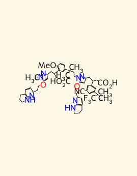 COc1ccc(C(C)(C)CCn2nc(CC(CC(=O)O)c3cc(C#N)cc(C(C)(C)C(F)(F)F)c3)cc2OCCc2ccc3c(n2)NCCC3)cc1C(CC(=O)O)Cc1cc(OCCc2ccc3c(n2)NCCC3)n(C)n1